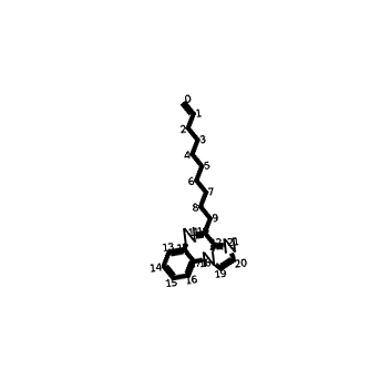 C=CCCCCCCCCc1nc2ccccc2n2ccnc12